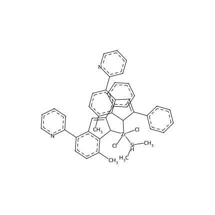 Cc1ccc(-c2ccccn2)c2c1[CH]([Zr]([Cl])([Cl])([CH]1C(c3ccccc3)=Cc3c(-c4ccccn4)ccc(C)c31)[SiH](C)C)C(c1ccccc1)=C2